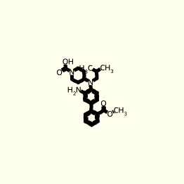 COC(=O)c1ccccc1-c1ccc(N(CC(C)C)C2CCN(C(=O)O)CC2)c(N)c1